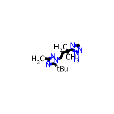 Cc1nc(C(C)(C)C)n(CCC(C)(C)c2ncn[nH]2)n1